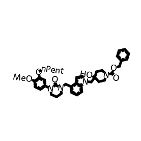 CCCCCOc1cc(N2CCCN(Cc3cccc4c3ccn4CC3(O)CCN(C(=O)OCc4ccccc4)CC3)C2=O)ccc1OC